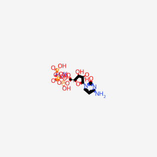 NOC(OP(=O)(O)OP(=O)(O)OP(=O)(O)O)[C@H]1O[C@@H](n2ccc(N)nc2=O)[C@H](O)[C@@H]1O